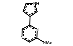 CNc1cncc(-c2cc[nH]c2)n1